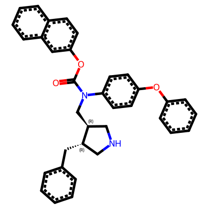 O=C(Oc1ccc2ccccc2c1)N(C[C@H]1CNC[C@@H]1Cc1ccccc1)c1ccc(Oc2ccccc2)cc1